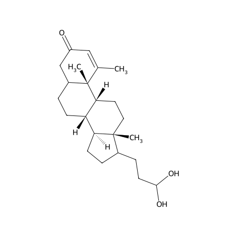 CC1=CC(=O)CC2CC[C@@H]3[C@@H](CC[C@]4(C)C(CCC(O)O)CC[C@@H]34)[C@@]12C